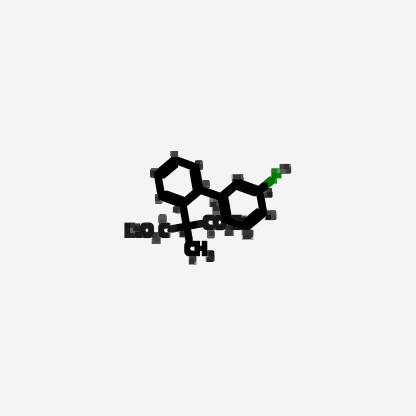 CCOC(=O)C(C)(C(=O)OCC)c1ccccc1-c1cccc(F)c1